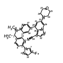 C[C@@H](c1ccc(-n2cc(F)cn2)nc1)N(C)c1ccc(-c2cc(N3CCOCC3)cn3ncc(C#N)c23)cn1